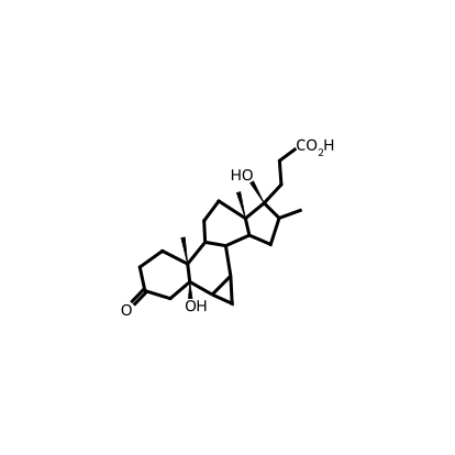 CC1CC2C3C4CC4[C@]4(O)CC(=O)CC[C@]4(C)C3CC[C@]2(C)[C@]1(O)CCC(=O)O